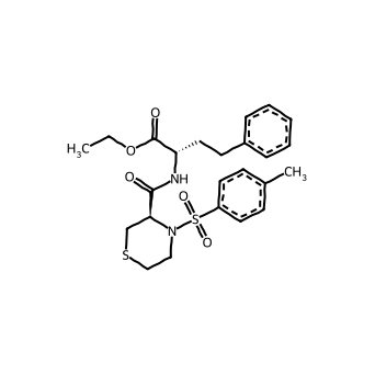 CCOC(=O)[C@H](CCc1ccccc1)NC(=O)[C@@H]1CSCCN1S(=O)(=O)c1ccc(C)cc1